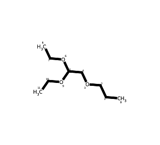 CCCOCC(OCC)OCC